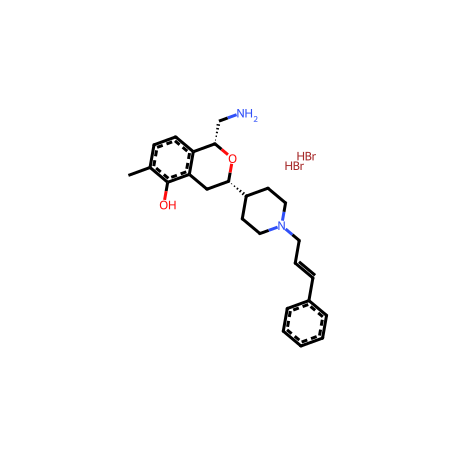 Br.Br.Cc1ccc2c(c1O)C[C@@H](C1CCN(CC=Cc3ccccc3)CC1)O[C@H]2CN